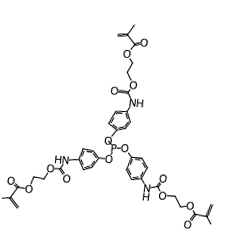 C=C(C)C(=O)OCCOC(=O)Nc1ccc(OP(Oc2ccc(NC(=O)OCCOC(=O)C(=C)C)cc2)Oc2ccc(NC(=O)OCCOC(=O)C(=C)C)cc2)cc1